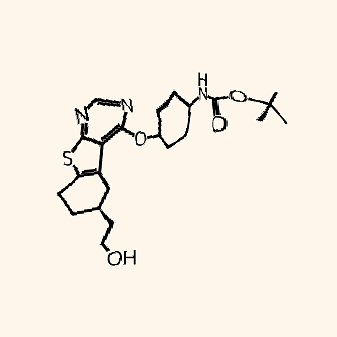 CC(C)(C)OC(=O)NC1CCC(Oc2ncnc3sc4c(c23)C[C@@H](CCO)CC4)CC1